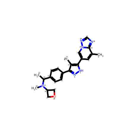 Cc1cc(-c2[nH]nc(-c3ccc(C(C)N(C)C4COC4)cc3)c2C(C)C)cn2ncnc12